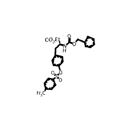 CCOC(=O)[C@H](Cc1ccc(OS(=O)(=O)c2ccc(C)cc2)cc1)NC(=O)OCc1ccccc1